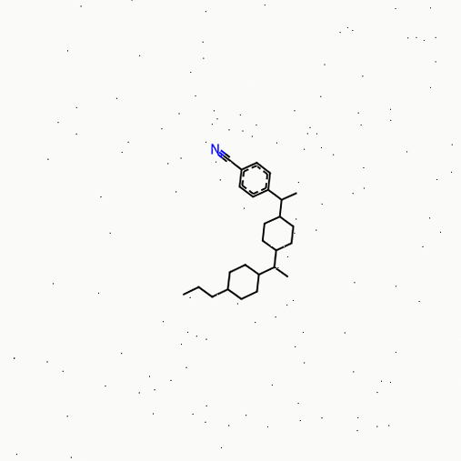 CCCC1CCC(C(C)C2CCC(C(C)c3ccc(C#N)cc3)CC2)CC1